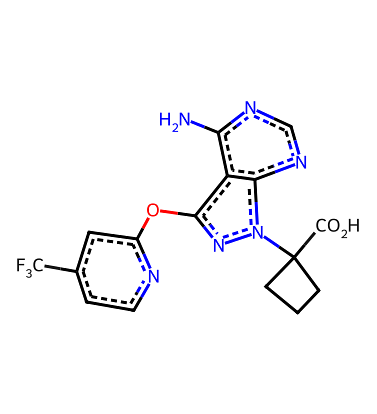 Nc1ncnc2c1c(Oc1cc(C(F)(F)F)ccn1)nn2C1(C(=O)O)CCC1